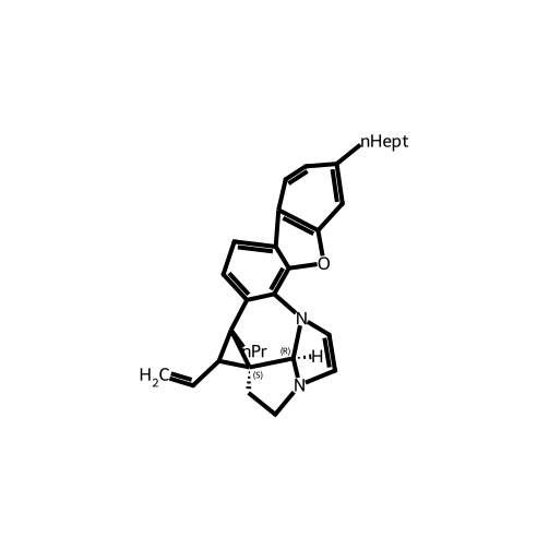 C=CC1C2(CCC)c3ccc4c(oc5cc(CCCCCCC)ccc54)c3N3C=CN4CC[C@]12[C@H]43